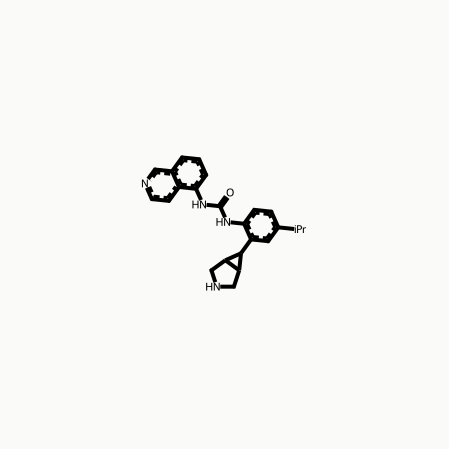 CC(C)c1ccc(NC(=O)Nc2cccc3cnccc23)c(C2C3CNCC32)c1